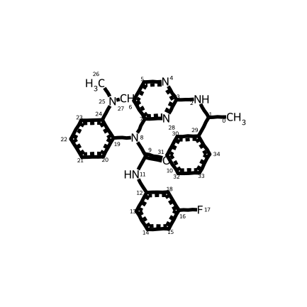 CC(Nc1nccc(N(C(=O)Nc2cccc(F)c2)c2ccccc2N(C)C)n1)c1ccccc1